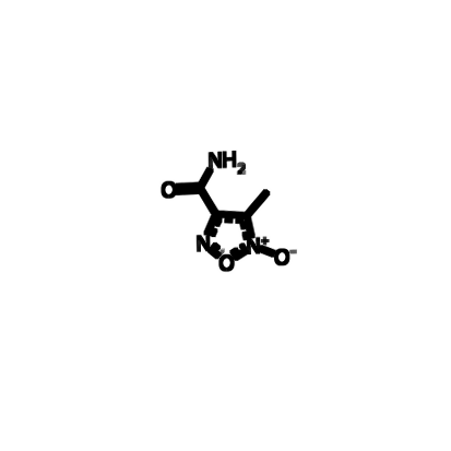 Cc1c(C(N)=O)no[n+]1[O-]